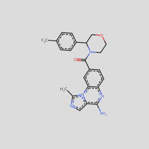 Cc1ncc2c(N)nc3ccc(C(=O)N4CCOCC4c4ccc(C(F)(F)F)cc4)cc3n12